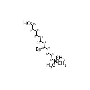 C[N+](C)(C)CCCCCCCCCCCCO.[Br-]